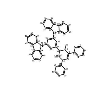 CN1C(c2ccccc2)=CC(c2ccccc2)NC1c1cc(-n2c3ccccc3c3ccccc32)cc(-n2c3ccccc3c3ccccc32)c1